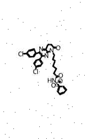 O=C(CCCCCCN1C(=O)CCc2nc(-c3ccc(Cl)cc3)c(-c3ccc(Cl)cc3)nc21)NS(=O)(=O)c1ccccc1